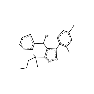 CCCC(C)(C)c1noc(-c2ccc(Cl)cc2F)c1C(O)c1cccnc1